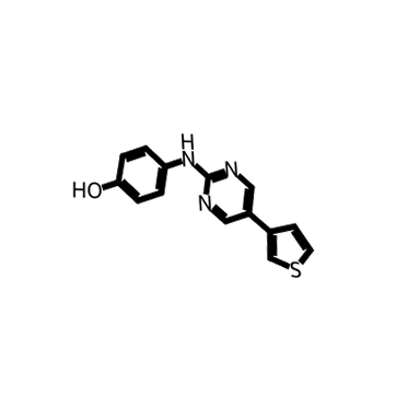 Oc1ccc(Nc2ncc(-c3ccsc3)cn2)cc1